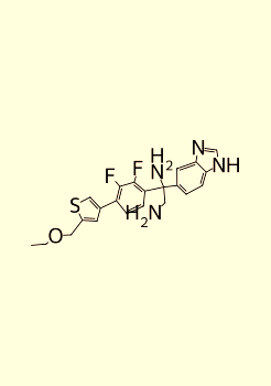 CCOCc1cc(-c2ccc(C(N)(CN)c3ccc4[nH]cnc4c3)c(F)c2F)cs1